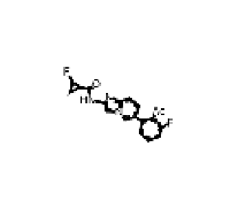 CC(=O)c1c(F)cccc1-c1ccc2nc(NC(=O)C3CC3F)cn2c1